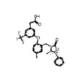 Cc1ccc(Oc2cc(CC(=O)O)cc(C(F)(F)F)c2)c(CN2C(=O)O[C@@H](c3ccccc3)[C@H]2C)c1